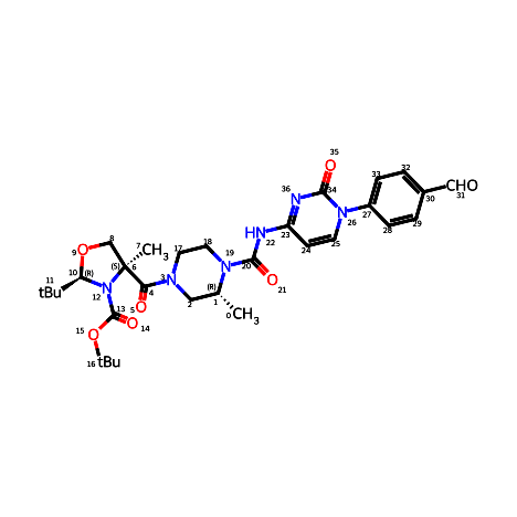 C[C@@H]1CN(C(=O)[C@]2(C)CO[C@H](C(C)(C)C)N2C(=O)OC(C)(C)C)CCN1C(=O)Nc1ccn(-c2ccc(C=O)cc2)c(=O)n1